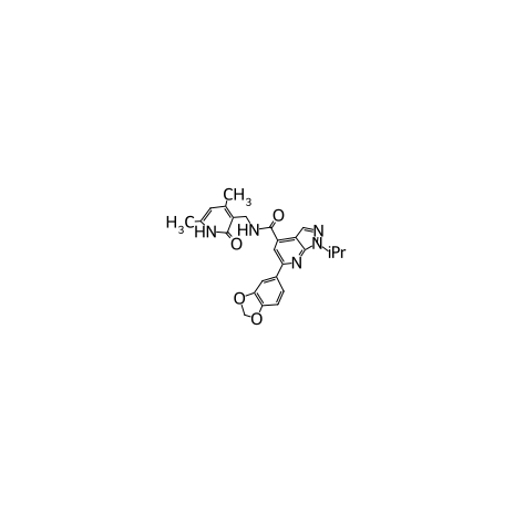 Cc1cc(C)c(CNC(=O)c2cc(-c3ccc4c(c3)OCO4)nc3c2cnn3C(C)C)c(=O)[nH]1